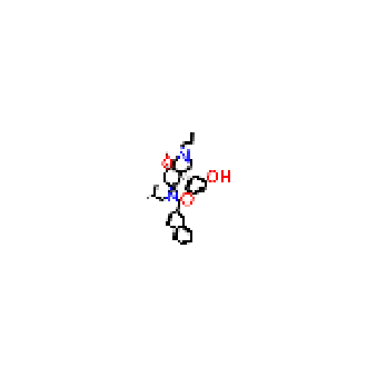 C=CCN1CC[C@@]2(c3cccc(O)c3)C[C@@H](N(CC(C)C)C(=O)c3ccc4ccccc4c3)CC[C@]2(OC)C1